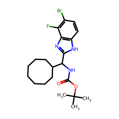 CC(C)(C)OC(=O)NC(c1nc2c(F)c(Br)ccc2[nH]1)C1CCCCCCC1